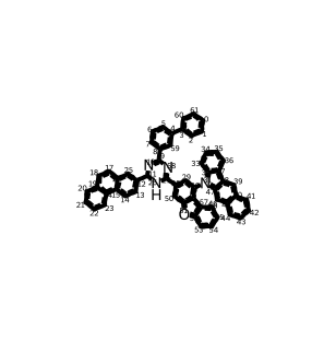 c1ccc(-c2cccc(C3=NC(c4ccc5c(ccc6ccccc65)c4)NC(c4cc(-n5c6ccccc6c6cc7ccccc7cc65)c5c(c4)oc4ccccc45)=N3)c2)cc1